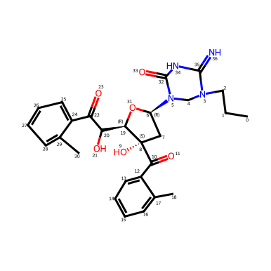 CCCN1CN([C@H]2C[C@@](O)(C(=O)c3ccccc3C)[C@@H](C(O)C(=O)c3ccccc3C)O2)C(=O)NC1=N